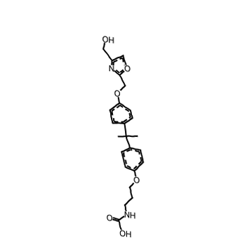 CC(C)(c1ccc(OCCCNC(=O)O)cc1)c1ccc(OCc2nc(CO)co2)cc1